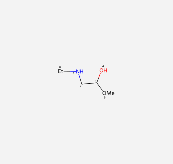 [CH2]CNCC(O)OC